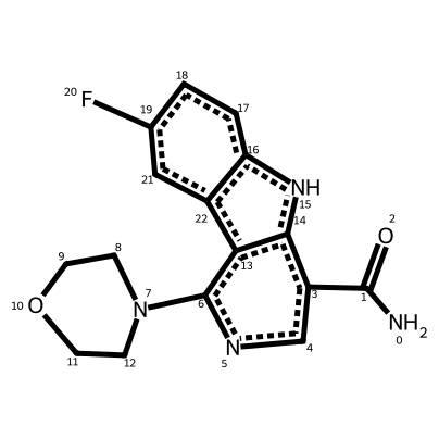 NC(=O)c1cnc(N2CCOCC2)c2c1[nH]c1ccc(F)cc12